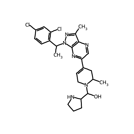 Cc1nn(C(C)c2ccc(Cl)cc2Cl)c2nc(C3=CCN(C(O)C4CCCN4)C(C)C3)cnc12